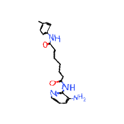 Cc1ccc(NC(=O)CCCCCC(=O)Nc2ncccc2N)cc1